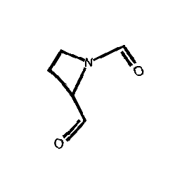 O=CC1CCN1C=O